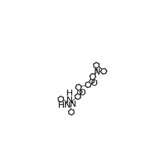 c1ccc(C2N=C(c3ccc4oc5c(-c6ccc7oc8cc(-n9c%10ccccc%10c%10ccccc%109)ccc8c7c6)cccc5c4c3)NC(c3ccccc3)N2)cc1